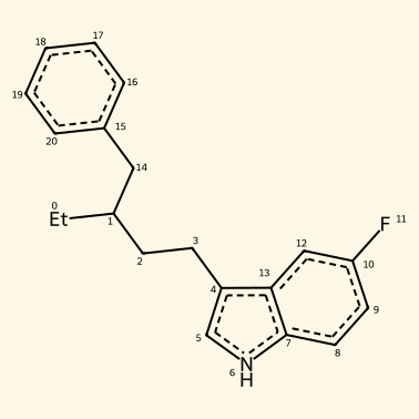 [CH2]CC(CCc1c[nH]c2ccc(F)cc12)Cc1ccccc1